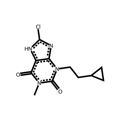 Cn1c(=O)c2[nH]c(Cl)nc2n(CCC2CC2)c1=O